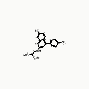 COC(CNc1cc(-c2ccc(C(F)(F)F)cc2)c2ccc(Br)cc2n1)OC